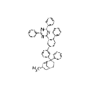 CC1C=C2CC(CCC23c2ccccc2-c2c(-c4ccc(-c5ccccc5)c(-c5nc(-c6ccccc6)nc(-c6ccccc6)n5)c4)cccc23)C1